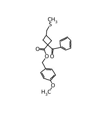 COc1ccc(COC(=O)C2(C(=O)c3ccccc3)CC(CSC)C2)cc1